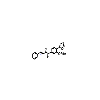 COc1cc(NC(=O)/C=C/c2ccccc2)ccc1-c1cnco1